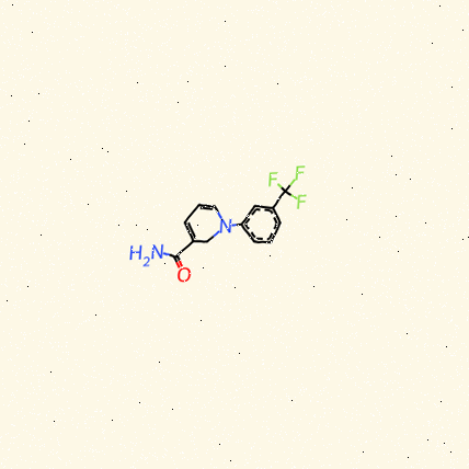 NC(=O)C1=CC=CN(c2cccc(C(F)(F)F)c2)C1